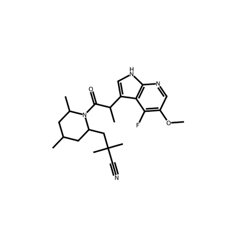 COc1cnc2[nH]cc(C(C)C(=O)N3C(C)CC(C)CC3CC(C)(C)C#N)c2c1F